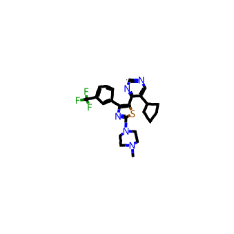 CN1CCN(c2nc(-c3cccc(C(F)(F)F)c3)c(-c3n[c]ncc3C3CCCC3)s2)CC1